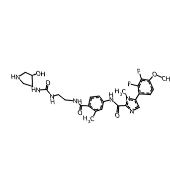 COc1ccc(-c2cnc(C(=O)Nc3ccc(C(=O)NCCNC(=O)N[C@@H]4CNC[C@H]4O)c(C)c3)n2C)c(F)c1F